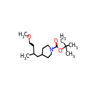 CO/C=C/C(C)CC1CCN(C(=O)OC(C)(C)C)CC1